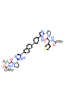 COC(=O)N[C@@H](C)C(=O)N1CCC[C@H]1c1ncc(-c2ccc3cc(-c4ccc(-c5cnc([C@@H]6CCCN6C(=O)[C@H](NC(=O)OC)c6ccsc6)[nH]5)cc4)ccc3c2)[nH]1